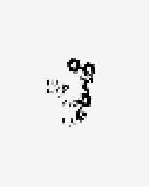 COc1nc(/C=C/c2nc3n(n2)CCCC3c2ccccc2C(F)(F)F)ccc1-n1cnc(C)c1.O=S(=O)(O)OS(=O)(=O)O